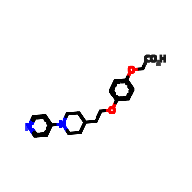 O=C(O)COc1ccc(OCCC2CCN(c3ccncc3)CC2)cc1